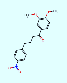 COc1ccc(C(=O)CCCc2ccc([N+](=O)[O-])cc2)cc1OC